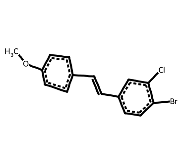 COc1ccc(C=Cc2ccc(Br)c(Cl)c2)cc1